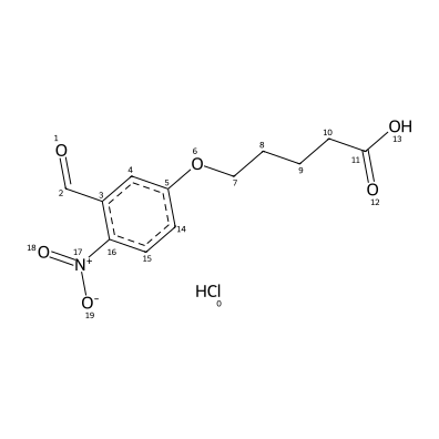 Cl.O=Cc1cc(OCCCCC(=O)O)ccc1[N+](=O)[O-]